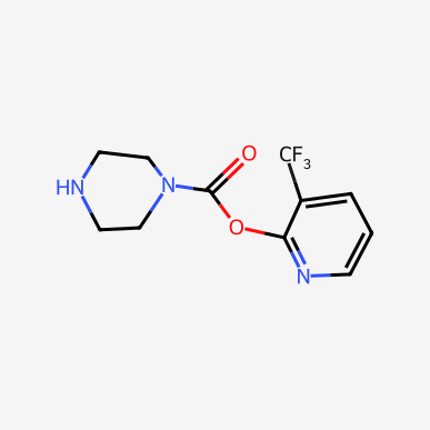 O=C(Oc1ncccc1C(F)(F)F)N1CCNCC1